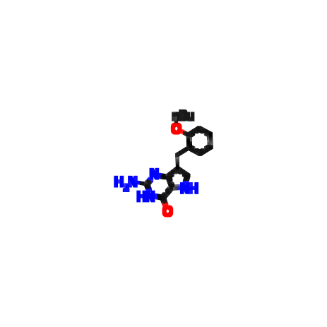 CCCCOc1ccccc1Cc1c[nH]c2c(=O)[nH]c(N)nc12